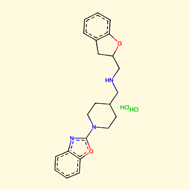 Cl.Cl.c1ccc2c(c1)CC(CNCC1CCN(c3nc4ccccc4o3)CC1)O2